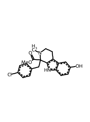 COC(=O)C1(Cc2ccc(Cl)cc2)c2[nH]c3ccc(O)cc3c2CCN1C